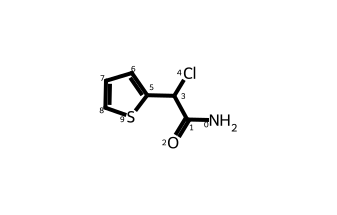 NC(=O)C(Cl)c1cccs1